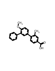 COc1ccc(-c2ccc(C(=O)O)cc2C)cc1-c1ccccc1